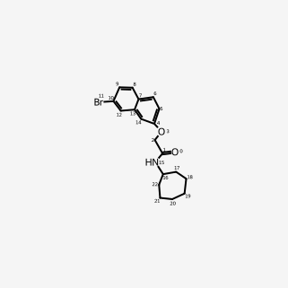 O=C(COc1ccc2ccc(Br)cc2c1)NC1CCCCCC1